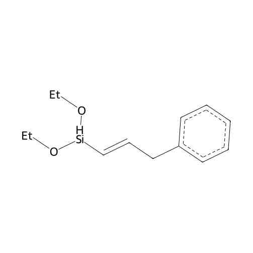 CCO[SiH](C=CCc1ccccc1)OCC